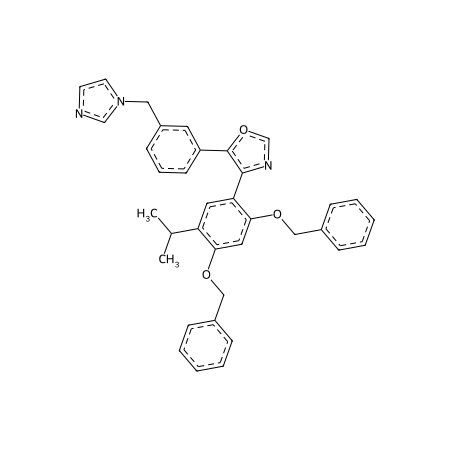 CC(C)c1cc(-c2ncoc2-c2cccc(Cn3ccnc3)c2)c(OCc2ccccc2)cc1OCc1ccccc1